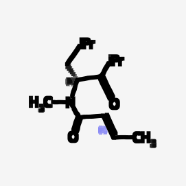 C/C=C/C(=O)N(C)[C@H](CC(C)C)C(=O)C(C)C